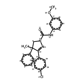 CC1(c2ccccc2)CN(C(=O)Nc2cccc(OC(F)(F)F)c2)N=C1c1ccc(Cl)cc1